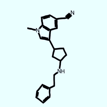 Cn1cc(C2CCC(NCCc3ccccc3)C2)c2cc(C#N)ccc21